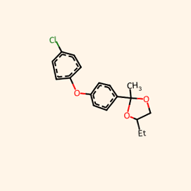 CCC1COC(C)(c2ccc(Oc3ccc(Cl)cc3)cc2)O1